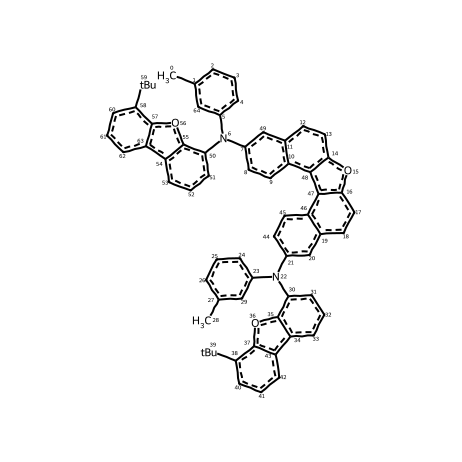 Cc1cccc(N(c2ccc3c(ccc4oc5ccc6cc(N(c7cccc(C)c7)c7cccc8c7oc7c(C(C)(C)C)cccc78)ccc6c5c43)c2)c2cccc3c2oc2c(C(C)(C)C)cccc23)c1